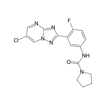 O=C(Nc1ccc(F)c(-c2nc3ncc(Cl)cn3n2)c1)N1CCCC1